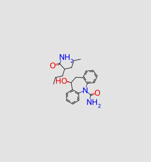 CCCC(CCC)C(N)=O.NC(=O)N1c2ccccc2C[C@H](O)c2ccccc21